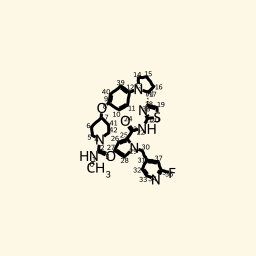 CNC(=O)N1CCC(Oc2ccc(N3CCC[C@@H]3c3csc(NC(=O)c4cccn4Cc4ccnc(F)c4)n3)cc2)CC1